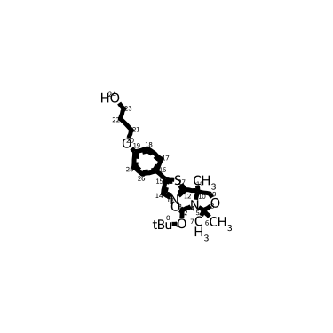 CC(C)(C)OC(=O)N1C(C)(C)OCC1(C)c1ncc(-c2ccc(OCCCO)cc2)s1